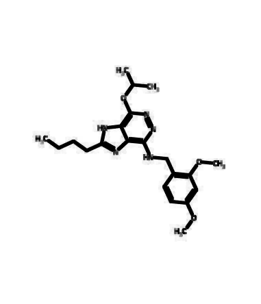 CCCCc1nc2c(NCc3ccc(OC)cc3OC)nnc(OC(C)C)c2[nH]1